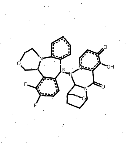 O=C1c2c(O)c(=O)ccn2N([C@@H]2c3ccccc3N3CCOCC3c3c2ccc(F)c3F)C2C3CCC(CC3)N12